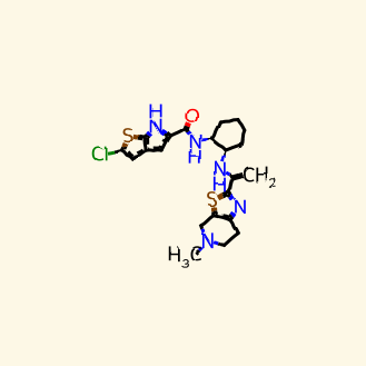 C=C(N[C@@H]1CCCC[C@@H]1NC(=O)c1cc2cc(Cl)sc2[nH]1)c1nc2c(s1)CN(C)CC2